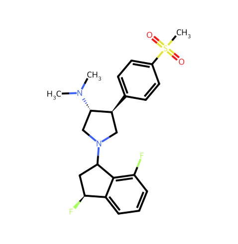 CN(C)[C@H]1CN(C2C[C@H](F)c3cccc(F)c32)C[C@@H]1c1ccc(S(C)(=O)=O)cc1